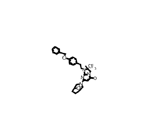 C[C@@]1(C(F)(F)F)Cn2c(nc(N3CC4CCC(C3)O4)cc2=O)N1CCc1ccc(OCc2ccccc2)cc1